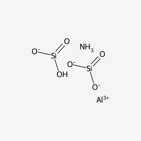 N.O=[Si]([O-])O.O=[Si]([O-])[O-].[Al+3]